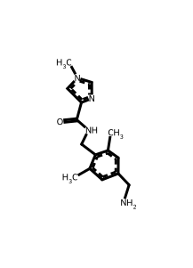 Cc1cc(CN)cc(C)c1CNC(=O)c1cn(C)cn1